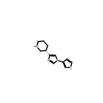 c1cc(-n2cnc([C@H]3CCCNC3)c2)cs1